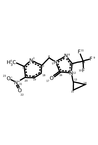 Cc1nc(Cn2nc(C(F)(F)F)n(C3CC3)c2=O)ccc1[N+](=O)[O-]